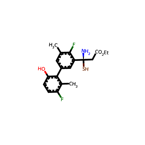 CCOC(=O)C[C@](N)(S)c1cc(-c2c(O)ccc(F)c2C)cc(C)c1F